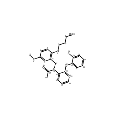 COc1ccc(OCCC[18F])c(CN(C(C)=O)c2cccnc2Oc2ccccc2F)c1